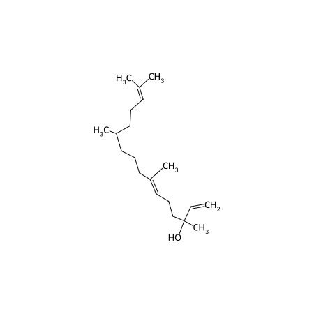 C=CC(C)(O)CC/C=C(\C)CCCC(C)CCC=C(C)C